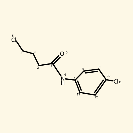 O=C(CCCCl)Nc1ccc(Cl)cc1